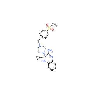 CS(=O)(=O)c1ccc(CN2CCN(C3(C4CC4)Nc4ccccc4N=C3N)CC2)cc1